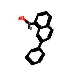 O[SiH2]c1cccc2ccc(-c3ccccc3)cc12